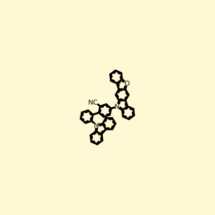 N#Cc1cc(-n2c3ccccc3c3cc4oc5ccccc5c4cc32)ccc1-c1ccccc1-n1c2ccccc2c2ccccc21